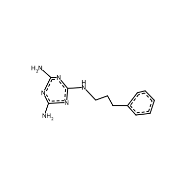 Nc1nc(N)nc(NCCCc2ccccc2)n1